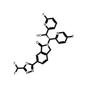 O=C1c2cc(-c3nnc(C(F)F)o3)ccc2CN1[C@H](c1ccc(F)cn1)C(O)c1cccc(F)n1